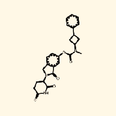 CN(C(=O)Oc1ccc2c(c1)C(=O)N(C1CCC(=O)NC1=O)C2)C1CC(c2ccccc2)C1